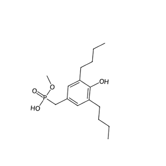 CCCCc1cc(CP(=O)(O)OC)cc(CCCC)c1O